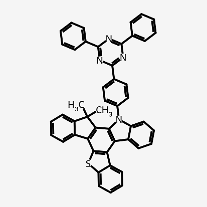 CC1(C)c2ccccc2-c2c1c1c(c3ccccc3n1-c1ccc(-c3nc(-c4ccccc4)nc(-c4ccccc4)n3)cc1)c1c2sc2ccccc21